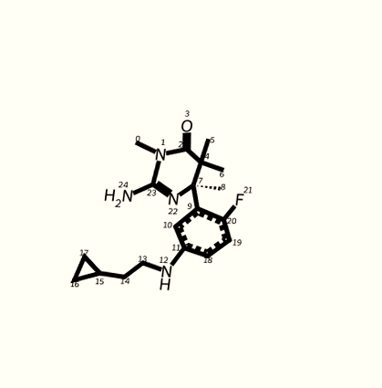 CN1C(=O)C(C)(C)[C@@](C)(c2cc(NCCC3CC3)ccc2F)N=C1N